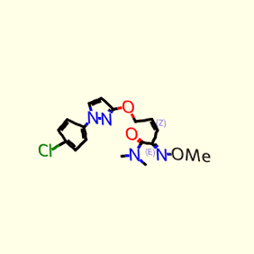 CO/N=C(\C=C/COc1ccn(-c2ccc(Cl)cc2)n1)C(=O)N(C)C